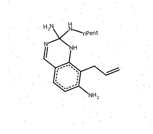 C=CCc1c(N)ccc2c1NC(N)(NCCCCC)N=C2